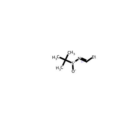 CC/[C]=N/[S+]([O-])C(C)(C)C